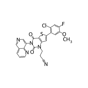 COc1cc(-c2cc3c(s2)c(=O)n(-c2cncc4cccnc24)c(=O)n3CCC#N)c(Cl)cc1F